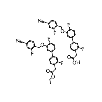 CCOC(=O)Cc1ccc(-c2ccc(F)c(OCc3ccc(C#N)cc3F)c2)cc1F.N#Cc1ccc(COc2cc(-c3ccc(CC(=O)O)c(F)c3)ccc2F)c(F)c1